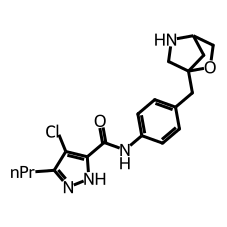 CCCc1n[nH]c(C(=O)Nc2ccc(CC34CNC(CO3)C4)cc2)c1Cl